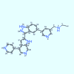 CCNCc1cncc(-c2ccc3[nH]nc(-c4cc5c(-c6ccncc6)cncc5[nH]4)c3c2)c1